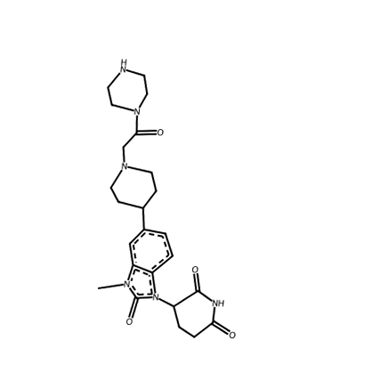 Cn1c(=O)n(C2CCC(=O)NC2=O)c2ccc(C3CCN(CC(=O)N4CCNCC4)CC3)cc21